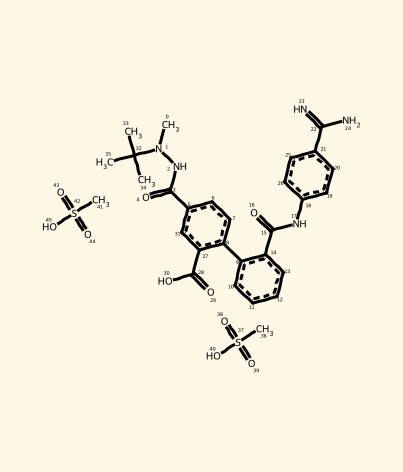 CN(NC(=O)c1ccc(-c2ccccc2C(=O)Nc2ccc(C(=N)N)cc2)c(C(=O)O)c1)C(C)(C)C.CS(=O)(=O)O.CS(=O)(=O)O